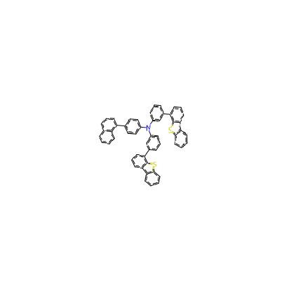 c1cc(-c2cccc3c2sc2ccccc23)cc(N(c2ccc(-c3cccc4ccccc34)cc2)c2cccc(-c3cccc4c3sc3ccccc34)c2)c1